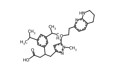 CC(C)c1cc(C(C)C)cc(C(CC(=O)O)Cc2cc(OCCc3ccc4c(n3)NCCC4)n(C)n2)c1